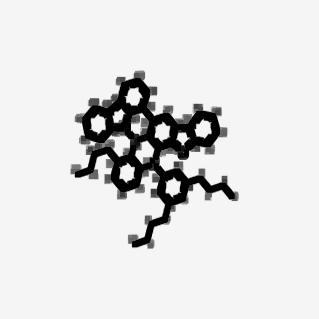 CCCCc1cc(CCCC)cc(N2c3cccc(CCCC)c3B3c4c(cc5c(oc6ccccc65)c42)-c2cccc4c5ccccc5n3c24)c1